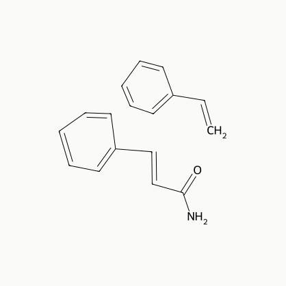 C=Cc1ccccc1.NC(=O)C=Cc1ccccc1